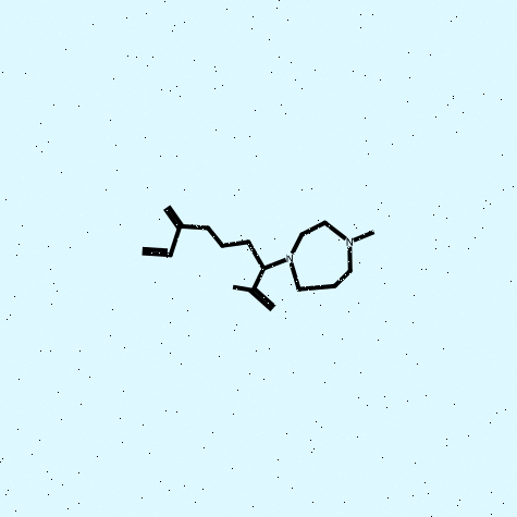 C=CC(=C)CCCC(C(=C)C)N1CCCN(C)CC1